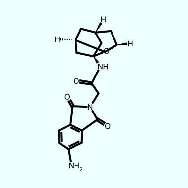 Nc1ccc2c(c1)C(=O)N(CC(=O)N[C@@]13C[C@@H]4C[C@@H](C[C@H](C4)O1)C3)C2=O